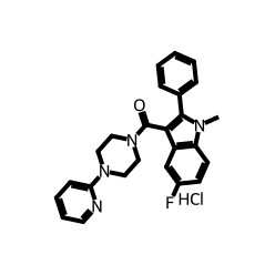 Cl.Cn1c(-c2ccccc2)c(C(=O)N2CCN(c3ccccn3)CC2)c2cc(F)ccc21